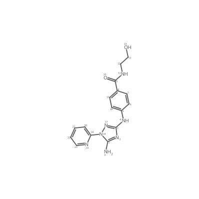 Nc1nc(Nc2ccc(C(=O)NCCO)cc2)nn1-c1ccccn1